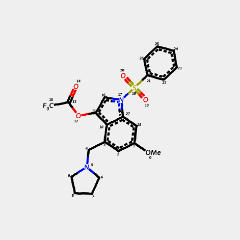 COc1cc(CN2CCCC2)c2c(OC(=O)C(F)(F)F)cn(S(=O)(=O)c3ccccc3)c2c1